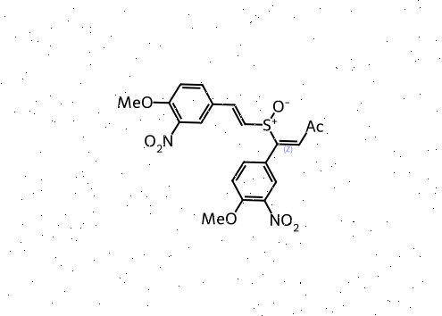 COc1ccc(C=C[S+]([O-])/C(=C\C(C)=O)c2ccc(OC)c([N+](=O)[O-])c2)cc1[N+](=O)[O-]